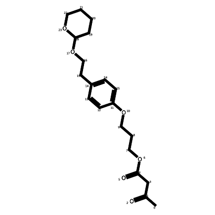 CC(=O)CC(=O)OCCCOc1ccc(CCOC2CCCCO2)cc1